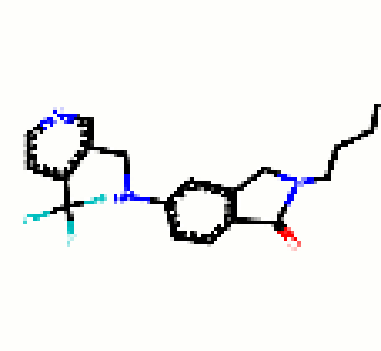 CCCCN1Cc2cc(NCc3cnccc3C(F)(F)F)ccc2C1=O